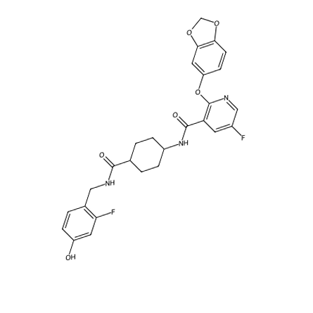 O=C(NC1CCC(C(=O)NCc2ccc(O)cc2F)CC1)c1cc(F)cnc1Oc1ccc2c(c1)OCO2